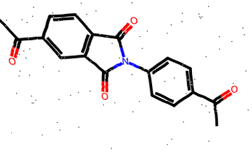 CC(=O)c1ccc(N2C(=O)c3ccc(C(C)=O)cc3C2=O)cc1